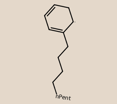 CCCCCCCCCC1=CC=CC[CH]1